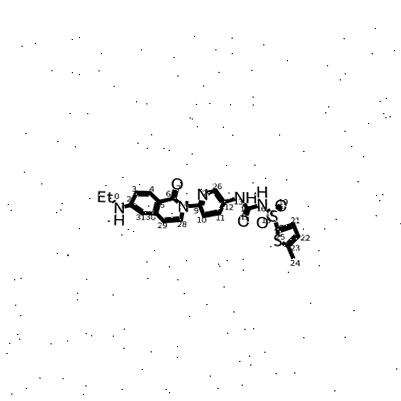 CCNc1ccc2c(=O)n(-c3ccc(NC(=O)NS(=O)(=O)c4ccc(C)s4)cn3)ccc2c1